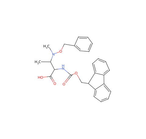 CC(C(NC(=O)OCC1c2ccccc2-c2ccccc21)C(=O)O)N(C)OCc1ccccc1